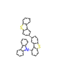 c1ccc2c(c1)sc1ccc(-c3ccc4sc5cccc(-n6c7ccccc7c7ccccc76)c5c4c3)cc12